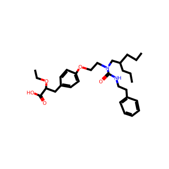 CCCC(CCC)CN(CCOc1ccc(CC(OCC)C(=O)O)cc1)C(=O)NCCc1ccccc1